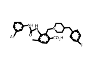 CC(=O)c1cccc(NC(=O)Nc2c(C)ccc(C(=O)O)c2CN2CCC(Cc3ccc(F)cc3)CC2)c1